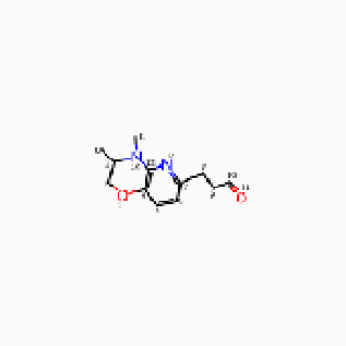 CC1COc2ccc(CCC=O)nc2N1C